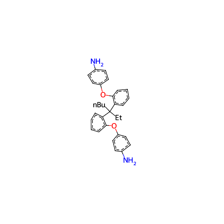 CCCCC(CC)(c1ccccc1Oc1ccc(N)cc1)c1ccccc1Oc1ccc(N)cc1